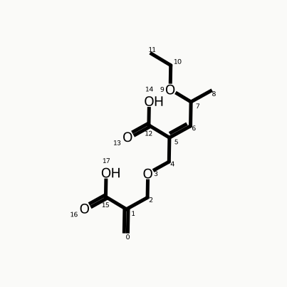 C=C(COCC(=CC(C)OCC)C(=O)O)C(=O)O